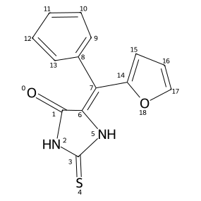 O=C1NC(=S)NC1=C(c1ccccc1)c1ccco1